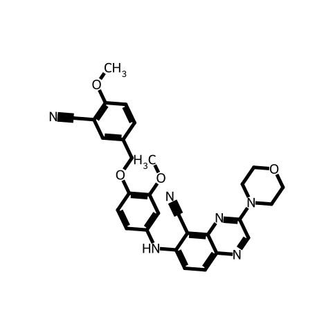 COc1ccc(COc2ccc(Nc3ccc4ncc(N5CCOCC5)nc4c3C#N)cc2OC)cc1C#N